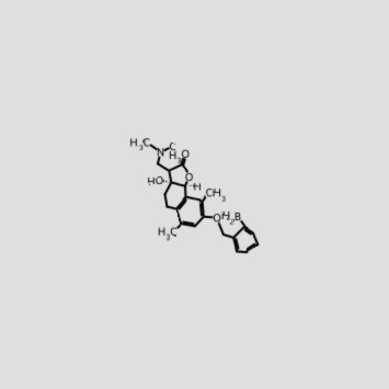 Bc1ccccc1COc1cc(C)c2c(c1C)[C@@H]1OC(=O)C(CN(C)C)[C@]1(O)CC2